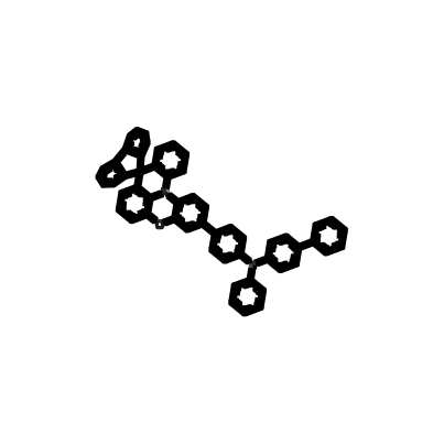 c1ccc(-c2ccc(N(c3ccccc3)c3ccc(-c4ccc5c(c4)Oc4cccc6c4N5c4ccccc4C64c5ccccc5-c5ccccc54)cc3)cc2)cc1